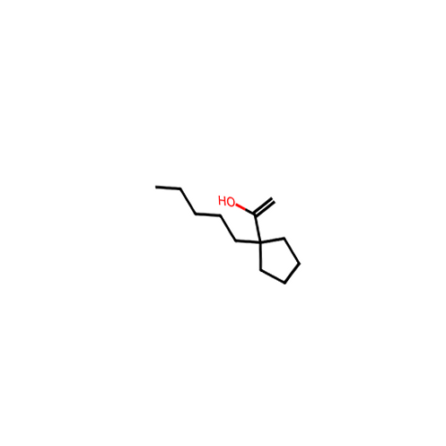 C=C(O)C1(CCCCC)CCCC1